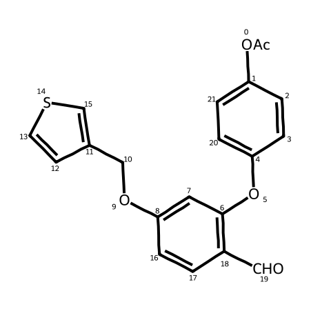 CC(=O)Oc1ccc(Oc2cc(OCc3ccsc3)ccc2C=O)cc1